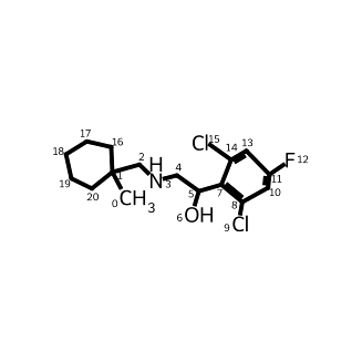 CC1(CNCC(O)c2c(Cl)cc(F)cc2Cl)CCCCC1